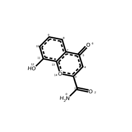 NC(=O)c1cc(=O)c2cccc(O)c2o1